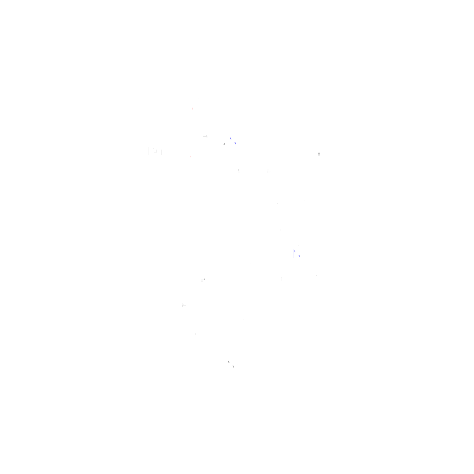 CC(C)(C)OC(=O)NCc1cccc(C[N+](C)(C)CCc2cccc([N+](=O)[O-])c2)c1